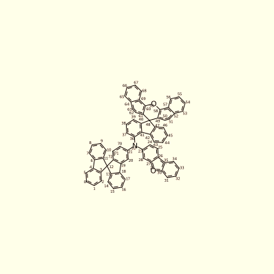 c1ccc2c(c1)-c1ccccc1C21c2ccccc2-c2cc(N(c3ccc4c(c3)oc3ccccc34)c3cccc4c3-c3ccccc3C43c4ccc5ccccc5c4Oc4c3ccc3ccccc43)ccc21